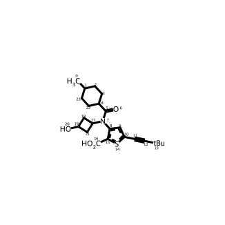 CC1CCC(C(=O)N(c2cc(C#CC(C)(C)C)sc2C(=O)O)C2CC(O)C2)CC1